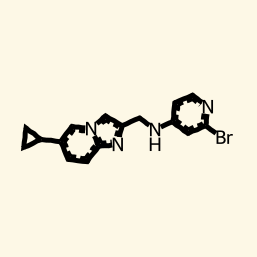 Brc1cc(NCc2cn3cc(C4CC4)ccc3n2)ccn1